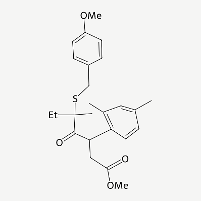 CCC(C)(SCc1ccc(OC)cc1)C(=O)C(CC(=O)OC)c1ccc(C)cc1C